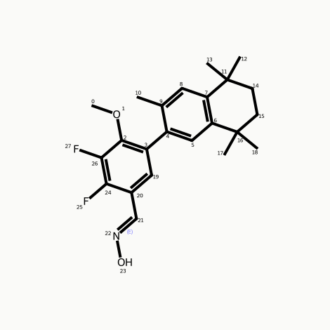 COc1c(-c2cc3c(cc2C)C(C)(C)CCC3(C)C)cc(/C=N/O)c(F)c1F